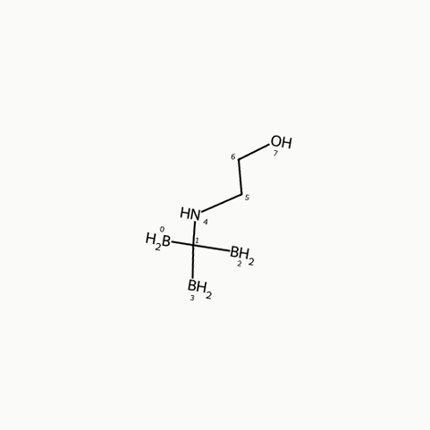 BC(B)(B)NCCO